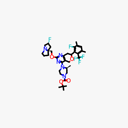 Cc1cc(C)c(C(F)(F)F)c(C2Cc3nc(OC[C@@]45CCCN4C[C@H](F)C5)nc(N4CCN(C(=O)OC(C)(C)C)C[C@@H]4C)c3CO2)c1F